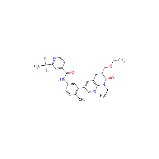 CCOCC1Cc2cc(-c3cc(NC(=O)c4ccnc(C(C)(F)F)c4)ccc3C)cnc2N(CC)C1=O